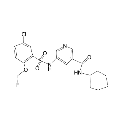 O=C(NC1CCCCC1)c1cncc(NS(=O)(=O)c2cc(Cl)ccc2OCF)c1